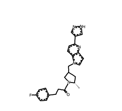 C[C@H]1CC(Cn2ccc3nc(-c4cn[nH]c4)ccc32)CN1C(=O)CCc1ccc(F)cc1